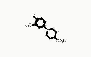 CCOC(=O)C1CCN(c2ccc(Cl)c(OC)c2)CC1